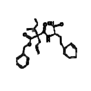 C=CCC(C(=O)NC(CCc1ccccc1)C(=O)O)(C(=O)OCc1ccccc1)[C@@H](C)CC